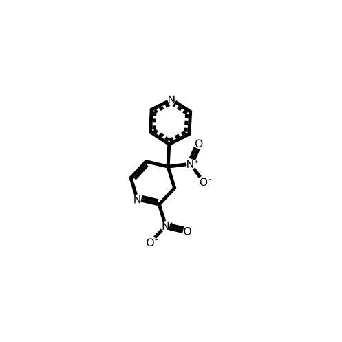 O=[N+]([O-])C1=NC=CC(c2ccncc2)([N+](=O)[O-])C1